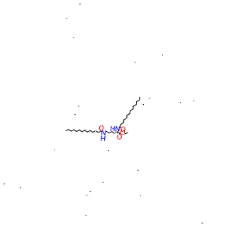 CCCCCCCCCCCCCC(=O)NCCCC[C@H](NC(=O)CCCCCCCCCCCCC)C(=O)OCC